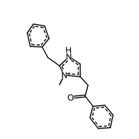 C[n+]1c(CC(=O)c2ccccc2)c[nH]c1Cc1ccccc1